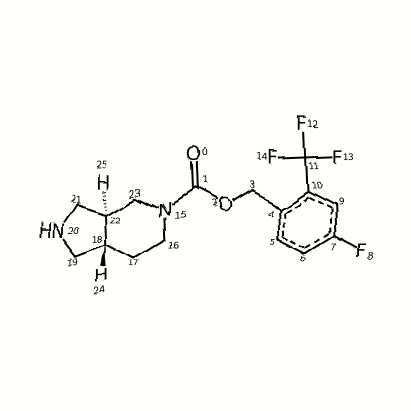 O=C(OCc1ccc(F)cc1C(F)(F)F)N1CC[C@@H]2CNC[C@H]2C1